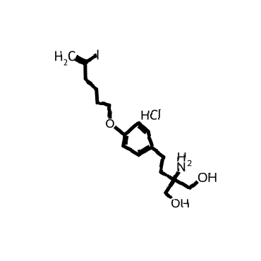 C=C(I)CCCCOc1ccc(CCC(N)(CO)CO)cc1.Cl